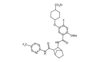 CCOC(=O)C1CCC(Oc2cc(C(=O)NC3C4CCC(C4)C3C(=O)Nc3ccc(C(F)(F)F)cn3)c(OC)cc2F)CC1